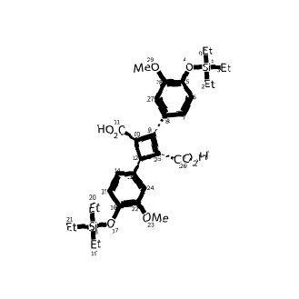 CC[Si](CC)(CC)Oc1ccc([C@H]2[C@H](C(=O)O)[C@H](c3ccc(O[Si](CC)(CC)CC)c(OC)c3)[C@H]2C(=O)O)cc1OC